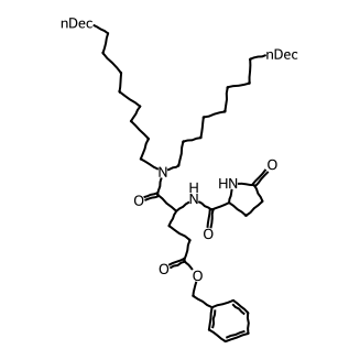 CCCCCCCCCCCCCCCCCCN(CCCCCCCCCCCCCCCCCC)C(=O)C(CCC(=O)OCc1ccccc1)NC(=O)C1CCC(=O)N1